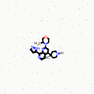 CC(=O)N1CCC(C#N)(c2cc(N3CCOCC3C)nc3c(-c4ccn[nH]4)nccc23)CC1